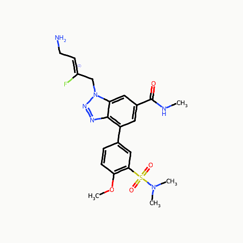 CNC(=O)c1cc(-c2ccc(OC)c(S(=O)(=O)N(C)C)c2)c2nnn(C/C(F)=C/CN)c2c1